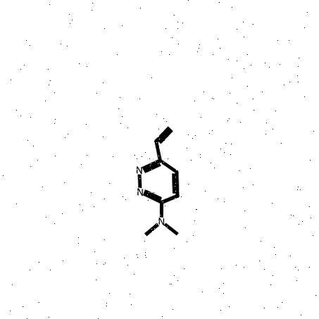 C=Cc1ccc(N(C)C)nn1